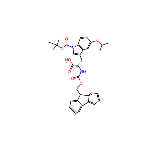 CC(C)Oc1ccc2c(c1)c(C[C@H](NC(=O)OCC1c3ccccc3-c3ccccc31)C(=O)O)cn2C(=O)OC(C)(C)C